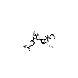 COc1ccc(-c2cnc3[nH]cc(C4=CCN(C(=O)O)CC4)c3c2)cc1S(=O)(=O)N1CCOCC1